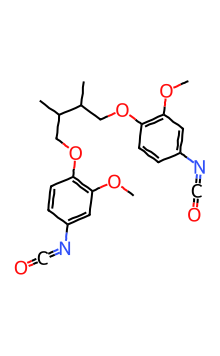 COc1cc(N=C=O)ccc1OCC(C)C(C)COc1ccc(N=C=O)cc1OC